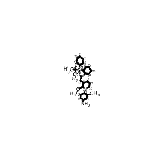 Cc1cc(N)cc(C)c1-n1cccc(CCO[Si](c2ccccc2)(c2ccccc2)C(C)(C)C)c1=O